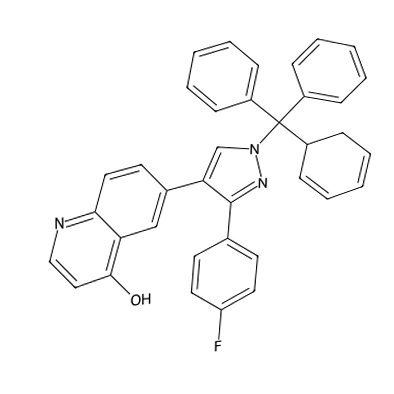 Oc1ccnc2ccc(-c3cn(C(c4ccccc4)(c4ccccc4)C4C=CC=CC4)nc3-c3ccc(F)cc3)cc12